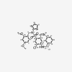 COc1ccc(CN(c2nccs2)S(=O)(=O)c2cc(Cl)c(N[C@@H](C)c3cccc(Br)c3)cc2F)c(OC)c1